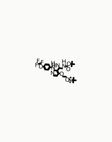 CC(C)(C)OC(=O)NCC(=N)c1c(OCCO[Si](C)(C)C(C)(C)C)ccnc1Nc1ccc(OC(F)(F)F)cc1